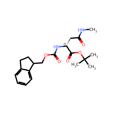 CNC(=O)C[C@@H](NC(=O)OCC1CCc2ccccc21)C(=O)OC(C)(C)C